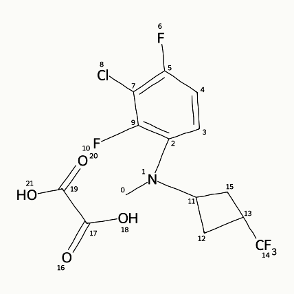 CN(c1ccc(F)c(Cl)c1F)C1CC(C(F)(F)F)C1.O=C(O)C(=O)O